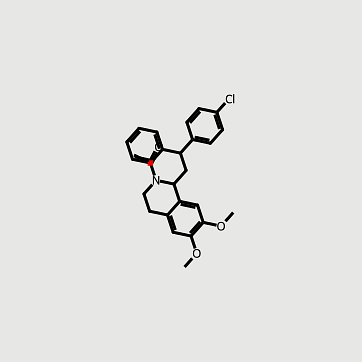 COc1cc2c(cc1OC)C(CC(c1ccccc1)c1ccc(Cl)cc1)N(C(C)=O)CC2